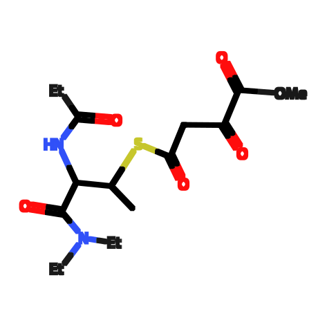 CCC(=O)NC(C(=O)N(CC)CC)C(C)SC(=O)CC(=O)C(=O)OC